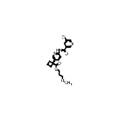 COCCCOC(=O)C1(c2ccc(NC(=O)c3cncc(Cl)c3)nc2)CCC1